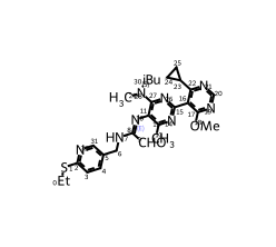 CCSc1ccc(CN/C(C=O)=N/c2c(C)nc(-c3c(OC)ncnc3C3CC3)nc2N(C)[C@@H](C)CC)cn1